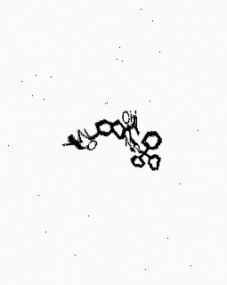 CC(C)C(O)(c1ccc2cc(C3=NC(C)(C)CO3)ccc2c1)c1cn(C(c2ccccc2)(c2ccccc2)c2ccccc2)cn1